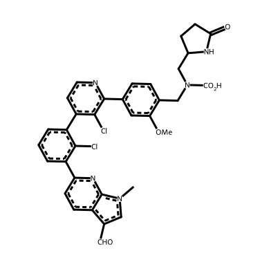 COc1cc(-c2nccc(-c3cccc(-c4ccc5c(C=O)cn(C)c5n4)c3Cl)c2Cl)ccc1CN(CC1CCC(=O)N1)C(=O)O